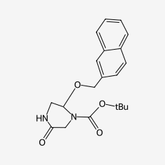 CC(C)(C)OC(=O)N1CC(=O)NCC1OCc1ccc2ccccc2c1